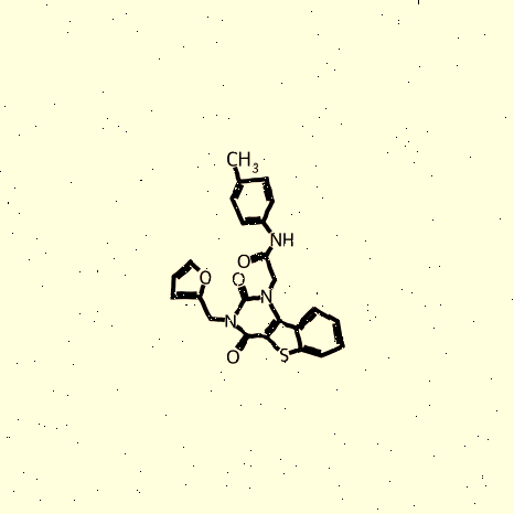 Cc1ccc(NC(=O)Cn2c(=O)n(Cc3ccco3)c(=O)c3sc4ccccc4c32)cc1